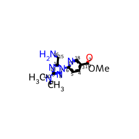 COC(=O)c1ccc(-n2nc(N(C)C)nc2CN)nc1